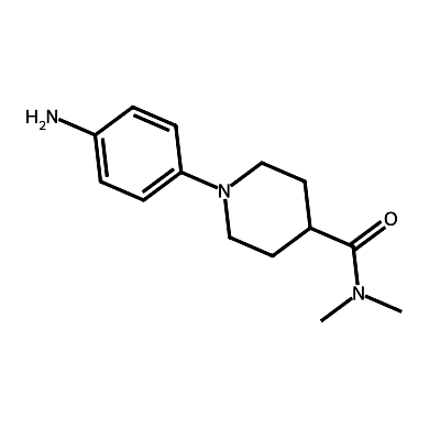 CN(C)C(=O)C1CCN(c2ccc(N)cc2)CC1